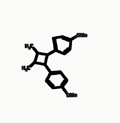 COc1ccc(C2C(C)C(C)C2c2ccc(OC)cc2)cc1